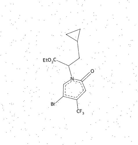 CCOC(=O)C(CC1CC1)n1cc(Br)c(C(F)(F)F)cc1=O